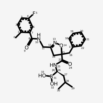 Cc1ccc(F)cc1C(=O)NCC1=NOC(Cc2ccccc2)(C(=O)N[C@@H](CC(C)C)B(O)O)C1